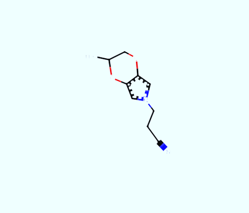 CC1COc2cn(CCC#N)cc2O1